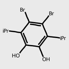 CC(C)c1c(O)c(O)c(C(C)C)c(Br)c1Br